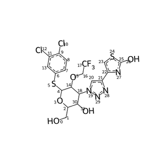 OCC1OC(Sc2ccc(Cl)c(Cl)c2)C(OCC(F)(F)F)C(n2cc(-c3csc(O)n3)nn2)C1O